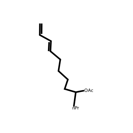 C=CC=CCCCCC(CCC)OC(C)=O